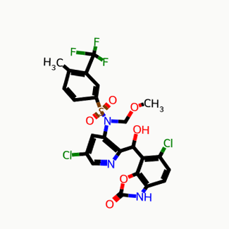 COCN(c1cc(Cl)cnc1C(O)c1c(Cl)ccc2[nH]c(=O)oc12)S(=O)(=O)c1ccc(C)c(C(F)(F)F)c1